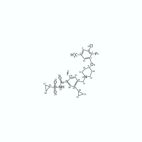 Cc1cc(Cl)c(F)c(OC2CCN(Cc3cc(F)c(C(=O)NS(=O)(=O)C4CC4)cc3C3CC3)CC2)c1